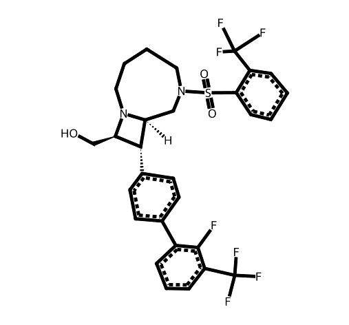 O=S(=O)(c1ccccc1C(F)(F)F)N1CCCCN2[C@H](CO)[C@@H](c3ccc(-c4cccc(C(F)(F)F)c4F)cc3)[C@@H]2C1